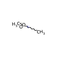 C[CH]C(=O)OC/C=C/CCCCCC